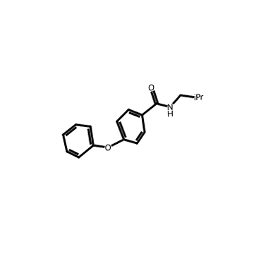 CC(C)CNC(=O)c1ccc(Oc2ccccc2)cc1